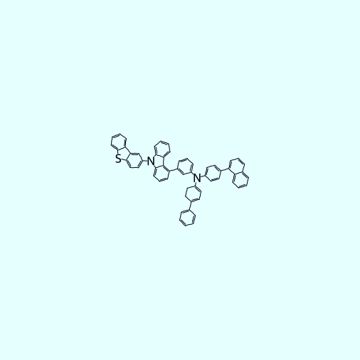 C1=C(c2ccccc2)CCC(N(c2ccc(-c3cccc4ccccc34)cc2)c2cccc(-c3cccc4c3c3ccccc3n4-c3ccc4sc5ccccc5c4c3)c2)=C1